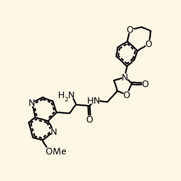 COc1ccc2nccc(CC(N)C(=O)NCC3CN(c4ccc5c(c4)OCCO5)C(=O)O3)c2n1